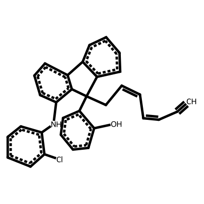 C#C/C=C\C=C/CC1(c2ccccc2O)c2ccccc2-c2cccc(Nc3ccccc3Cl)c21